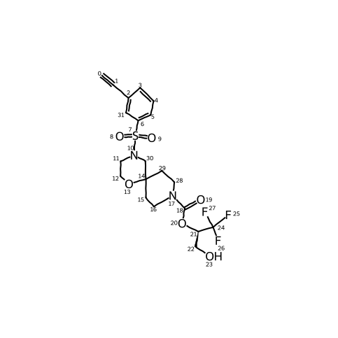 C#Cc1cccc(S(=O)(=O)N2CCOC3(CCN(C(=O)O[C@H](CO)C(F)(F)F)CC3)C2)c1